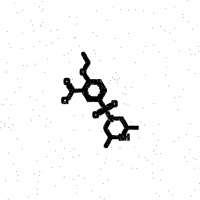 CCOc1ccc(S(=O)(=O)N2CC(C)NC(C)C2)cc1C(=O)Cl